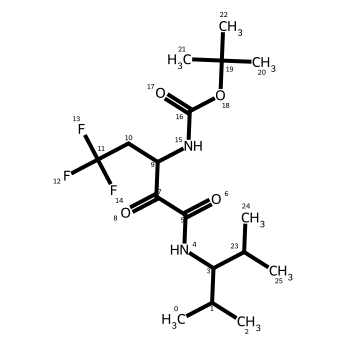 CC(C)C(NC(=O)C(=O)C(CC(F)(F)F)NC(=O)OC(C)(C)C)C(C)C